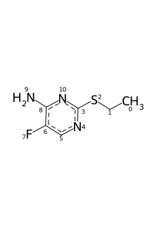 CCSc1ncc(F)c(N)n1